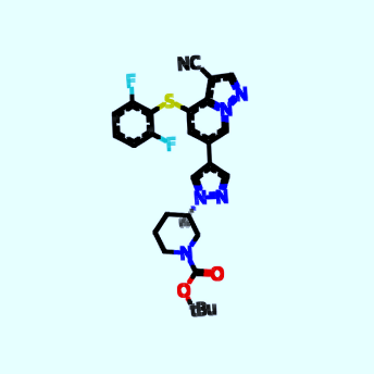 CC(C)(C)OC(=O)N1CCC[C@H](n2cc(-c3cc(Sc4c(F)cccc4F)c4c(C#N)cnn4c3)cn2)C1